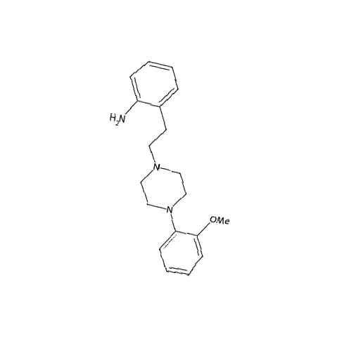 COc1ccccc1N1CCN(CCc2ccccc2N)CC1